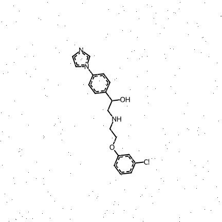 OC(CNCCOc1cccc(Cl)c1)c1ccc(-n2ccnc2)cc1